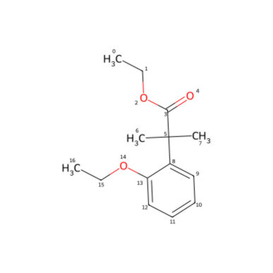 CCOC(=O)C(C)(C)c1ccccc1OCC